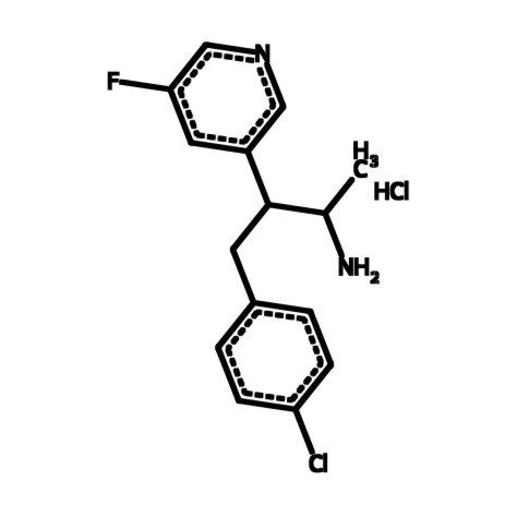 CC(N)C(Cc1ccc(Cl)cc1)c1cncc(F)c1.Cl